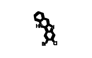 Clc1cc2nc3cc4ccccc4[nH]c-3c2cc1Br